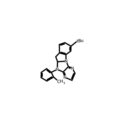 Cc1ccccc1N1c2nccnc2N2c3cc(C(C)(C)C)ccc3CC12